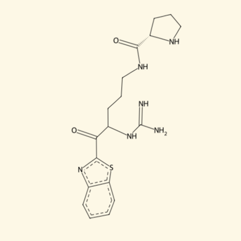 N=C(N)NC(CCCNC(=O)[C@@H]1CCCN1)C(=O)c1nc2ccccc2s1